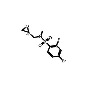 CN(C[C@H]1CO1)S(=O)(=O)c1ccc(Br)cc1F